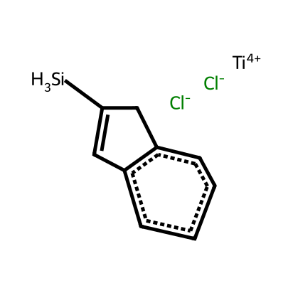 [Cl-].[Cl-].[SiH3]C1=Cc2ccccc2C1.[Ti+4]